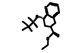 CCOC(=O)C1Cc2cccnc2[C@@H](O[Si](C)(C)C(C)(C)C)C1